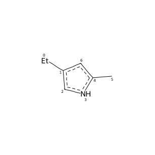 [CH2]Cc1c[nH]c(C)c1